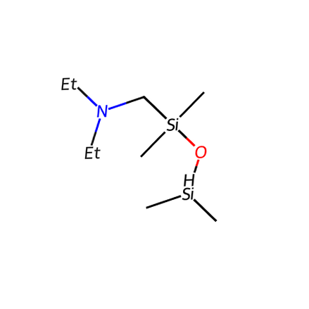 CCN(CC)C[Si](C)(C)O[SiH](C)C